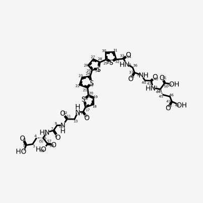 O=C(O)CC[C@H](NC(=O)CNC(=O)CNC(=O)c1ccc(-c2ccc(-c3ccc(-c4ccc(C(=O)NCC(=O)NCC(=O)N[C@@H](CCC(=O)O)C(=O)O)s4)s3)s2)s1)C(=O)O